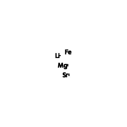 [Fe].[Li].[Mg].[Sr]